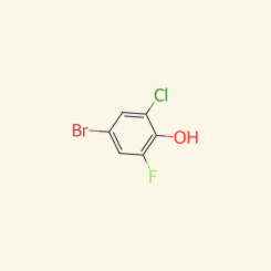 Oc1c(F)cc(Br)cc1Cl